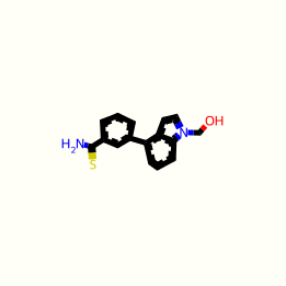 NC(=S)c1cccc(-c2cccc3c2ccn3CO)c1